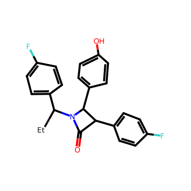 CCC(c1ccc(F)cc1)N1C(=O)C(c2ccc(F)cc2)C1c1ccc(O)cc1